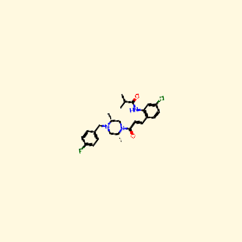 CC(C)C(=O)Nc1cc(Cl)ccc1C=CC(=O)N1C[C@H](C)N(Cc2ccc(F)cc2)C[C@H]1C